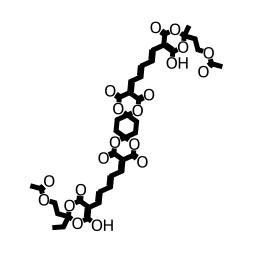 CCC1(CCOC(C)=O)OC(=O)C(/C=C/C=C/C=C2C(=O)OC3(CCC4(CC3)OC(=O)C(=C/C=C/C=C/C3=C(O)OC(C)(CCOC(C)=O)OC3=O)C(=O)O4)OC2=O)=C(O)O1